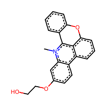 C[n+]1c2c3c(cccc3c3ccc(OCCO)cc31)Oc1ccccc1-2